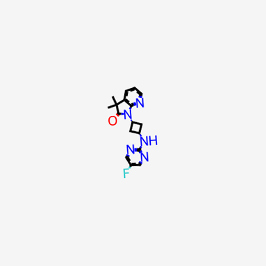 CC1(C)C(=O)N([C@H]2C[C@H](Nc3ncc(F)cn3)C2)c2ncccc21